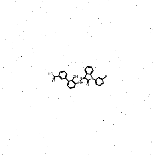 O=C(O)c1cccc(-c2cccc(NN=C3C(=O)N(c4cccc(F)c4)c4ccccc43)c2O)c1